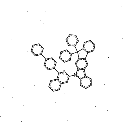 c1ccc(-c2ccc(-c3nc(-n4c5ccccc5c5cc6c(cc54)C(c4ccccc4)(c4ccccc4)c4ccccc4-6)cc4ccccc34)cc2)cc1